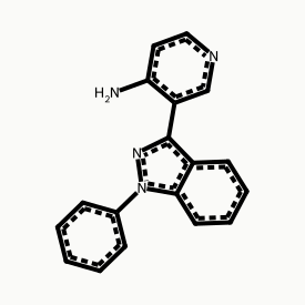 Nc1ccncc1-c1nn(-c2ccccc2)c2ccccc12